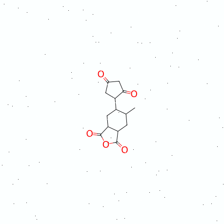 CC1CC2C(=O)OC(=O)C2CC1C1CC(=O)CC1=O